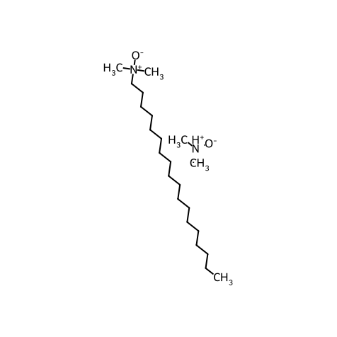 CCCCCCCCCCCCCCCCCC[N+](C)(C)[O-].C[NH+](C)[O-]